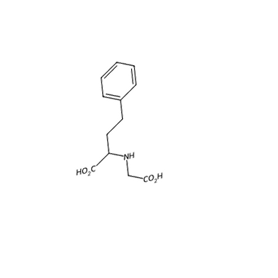 O=C(O)CNC(CCc1ccccc1)C(=O)O